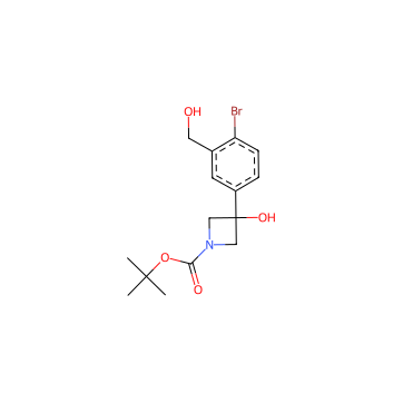 CC(C)(C)OC(=O)N1CC(O)(c2ccc(Br)c(CO)c2)C1